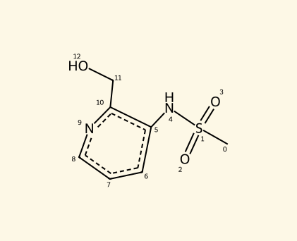 CS(=O)(=O)Nc1cccnc1CO